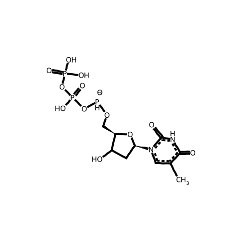 Cc1cn([C@H]2CC(O)[C@@H](CO[PH](=O)OP(=O)(O)OP(=O)(O)O)O2)c(=O)[nH]c1=O